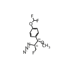 CO[C@H](c1ccc(OC(F)F)cc1)[C@@H](CF)N=[N+]=[N-]